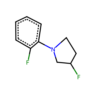 Fc1ccccc1N1CCC(F)C1